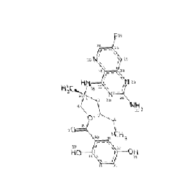 CCCC[C@](C)(COC(=O)c1cc(O)ccc1O)Nc1nc(N)nc2cc(F)cnc12